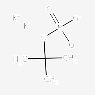 CC(C)(C)OP(=O)([O-])[O-].[K+].[K+]